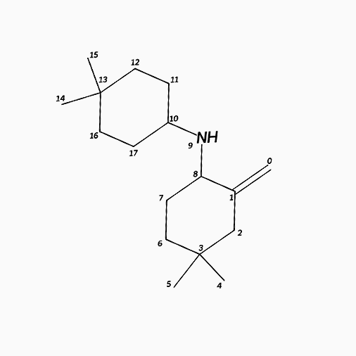 C=C1CC(C)(C)CCC1NC1CCC(C)(C)CC1